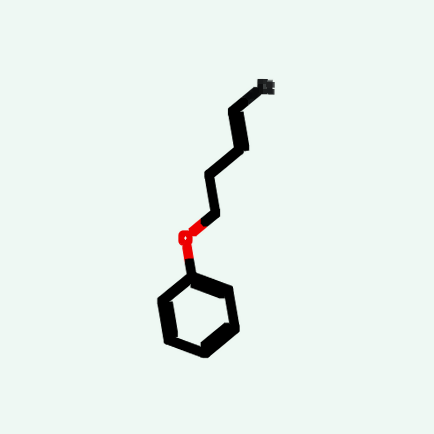 CCC=CCCOc1ccccc1